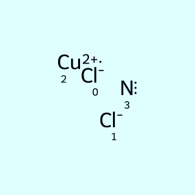 [Cl-].[Cl-].[Cu+2].[N]